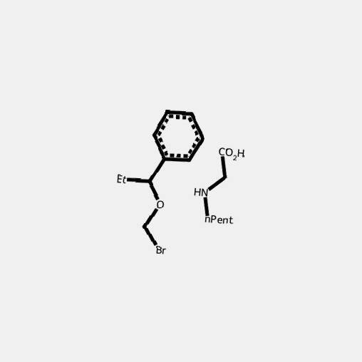 CCC(OCBr)c1ccccc1.CCCCCNCC(=O)O